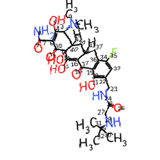 CN(C)[C@@H]1C(O)=C(C(N)=O)C(=O)[C@@]2(O)C(O)=C3C(=O)c4c(O)c(CNC(=O)CNC(C)(C)C)cc(F)c4C[C@H]3C[C@@H]12